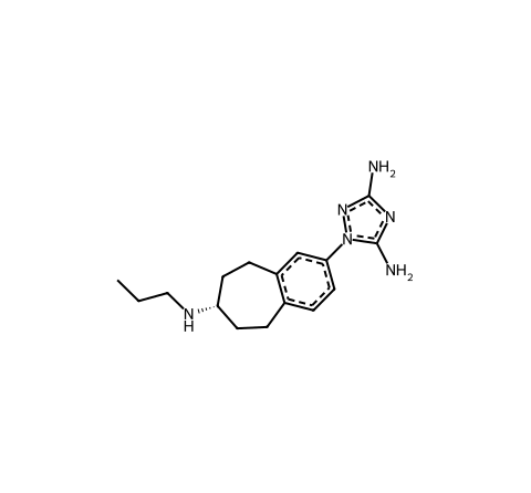 CCCN[C@H]1CCc2ccc(-n3nc(N)nc3N)cc2CC1